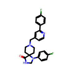 O=C1NCN(c2ccc(F)cc2)C12CCN(Cc1ccnc(-c3ccc(F)cc3)c1)CC2